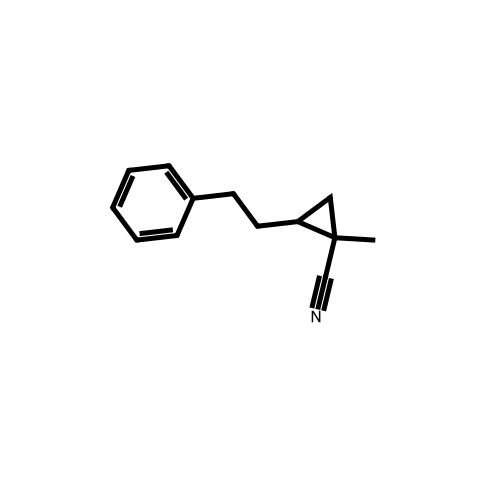 CC1(C#N)CC1CCc1ccccc1